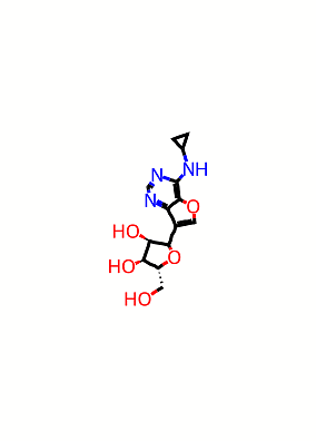 OC[C@H]1OC(c2coc3c(NC4CC4)ncnc23)[C@H](O)[C@@H]1O